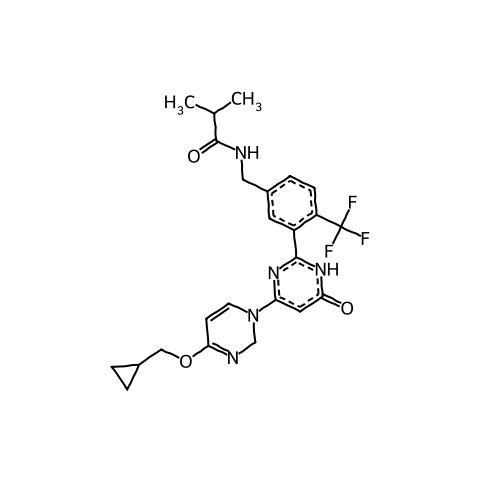 CC(C)C(=O)NCc1ccc(C(F)(F)F)c(-c2nc(N3C=CC(OCC4CC4)=NC3)cc(=O)[nH]2)c1